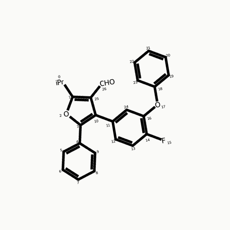 CC(C)c1oc(-c2ccccc2)c(-c2ccc(F)c(Oc3ccccc3)c2)c1C=O